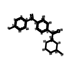 Cc1ccc(Nc2ccc(C(=O)N3CCCC(C)C3)cn2)cc1